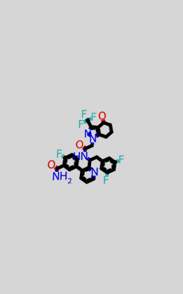 NC(=O)c1cc(-c2cccnc2C(Cc2cc(F)cc(F)c2)NC(=O)Cn2nc(C(F)(F)F)c3c2CCCC3=O)ccc1F